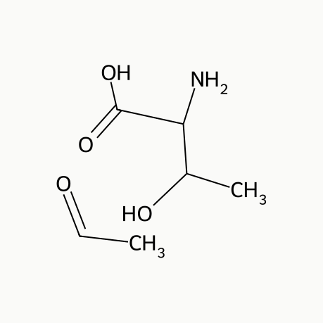 CC(O)C(N)C(=O)O.CC=O